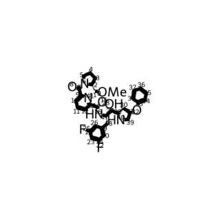 COC[C@H]1CCCN1C(=O)c1cccc(C(=O)N[C@@H](Cc2cc(F)cc(F)c2)[C@H](O)[C@H]2C[C@@H](Oc3ccccc3)CN2)n1